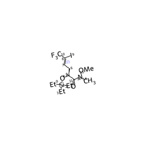 CC[Si](CC)(CC)O[C@@H](C/C=C(\I)C(F)(F)F)C(=O)N(C)OC